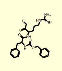 N=C(N)NCCCC(NC(=O)C(Cc1ccccc1)NC(=O)OCc1ccccc1)C(=O)CF